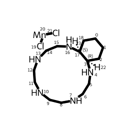 C1CC[C@H]2NCCNCCNCCNCCN[C@H]2C1.[Cl][Mn][Cl]